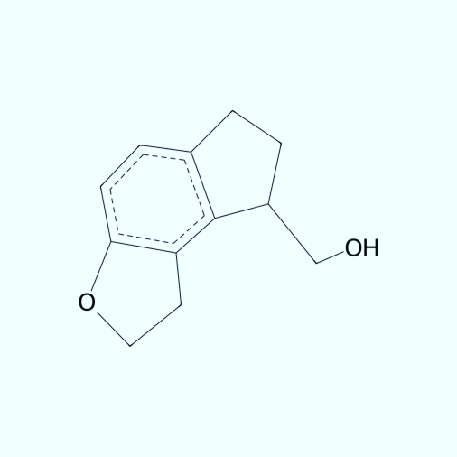 OCC1CCc2ccc3c(c21)CCO3